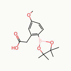 COc1ccc(B2OC(C)(C)C(C)(C)O2)c(CC(=O)O)c1